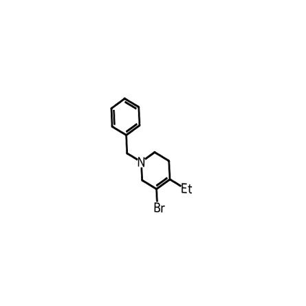 CCC1=C(Br)CN(Cc2ccccc2)CC1